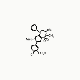 CCCCC1CN(c2ccccc2)c2cc(SC)c(-c3ccc(Cl)c(C(=O)O)c3)cc2S(=O)(=O)N1C